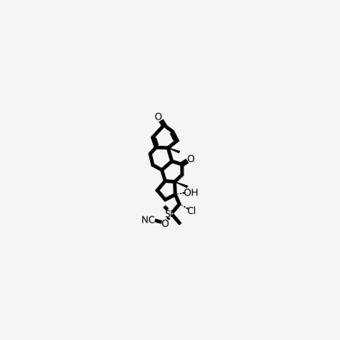 C[C@]12C=CC(=O)C=C1CCC1C2C(=O)C[C@@]2(C)C1CC[C@]2(O)[C@H](Cl)[Si](C)(C)OC#N